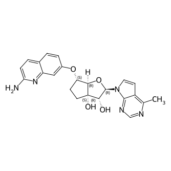 Cc1ncnc2c1ccn2[C@@H]1O[C@@H]2[C@@H](Oc3ccc4ccc(N)nc4c3)CC[C@]2(O)[C@H]1O